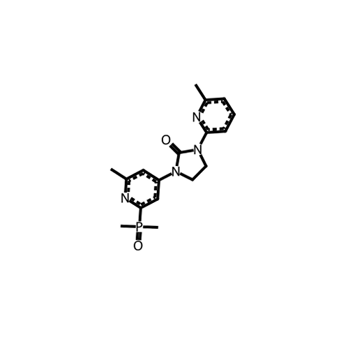 Cc1cccc(N2CCN(c3cc(C)nc(P(C)(C)=O)c3)C2=O)n1